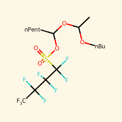 CCCCCC(OC(C)OCCCC)OS(=O)(=O)C(F)(F)C(F)(F)C(F)(F)C(F)(F)F